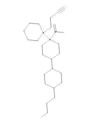 N#CCCC1(C2(C(=O)O)CCC(C3CCC(CCCF)CC3)CC2)CCCCC1